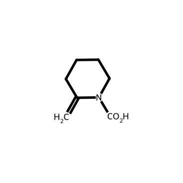 C=C1CCCCN1C(=O)O